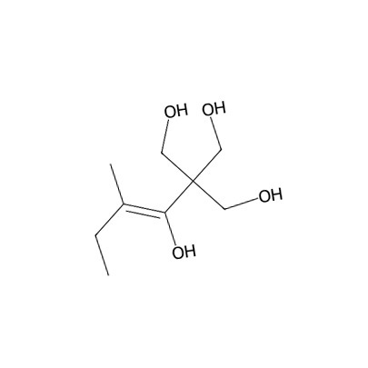 CCC(C)=C(O)C(CO)(CO)CO